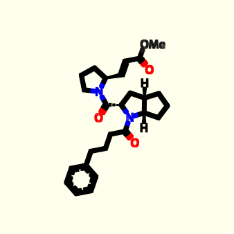 COC(=O)C=C[C@@H]1CCCN1C(=O)[C@@H]1C[C@@H]2CCC[C@@H]2N1C(=O)CCCc1ccccc1